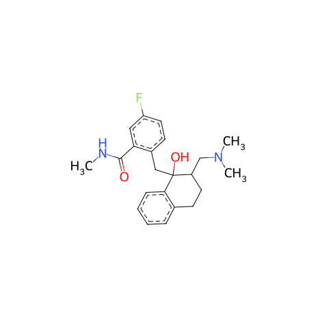 CNC(=O)c1cc(F)ccc1CC1(O)c2ccccc2CCC1CN(C)C